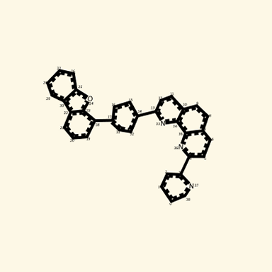 c1ccc(-c2ccc3ccc4ccc(-c5ccc(-c6cccc7c6oc6ccccc67)cc5)nc4c3n2)nc1